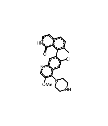 COc1cnc2cc(-c3c(C)ccc4cc[nH]c(=O)c34)c(Cl)cc2c1N1CCNCC1